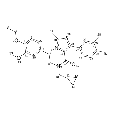 CCOc1ccc(CCN(CC2CC2)C(=O)c2nc(C)sc2-c2ccc(C)c(C)c2)cc1OC